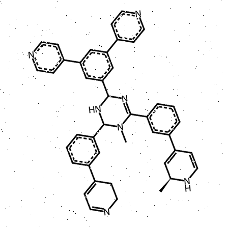 C[C@H]1C=C(c2cccc(C3=NC(c4cc(-c5ccncc5)cc(-c5ccncc5)c4)NC(c4cccc(C5=CC=NCC5)c4)N3C)c2)C=CN1